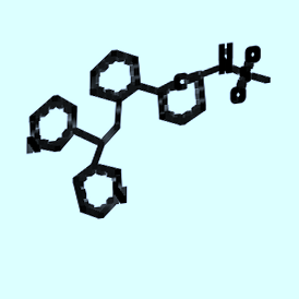 CS(=O)(=O)Nc1cccc(-c2ccccc2CC(c2cccnc2)c2cccnc2)c1